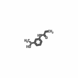 C=CC(=O)Nc1cccc(B(C)O)c1